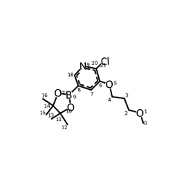 COCCCOc1cc(B2OC(C)(C)C(C)(C)O2)cnc1Cl